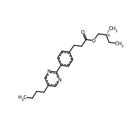 CCCCc1cnc(-c2ccc(CCC(=O)OC[C@H](C)CC)cc2)nc1